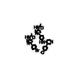 CC(=O)Nc1nnc(-c2ccc(Br)cc2)s1.COc1ccc(-c2cnccc2Nc2ccc(-c3nnc(NC(C)=O)s3)cc2)cc1